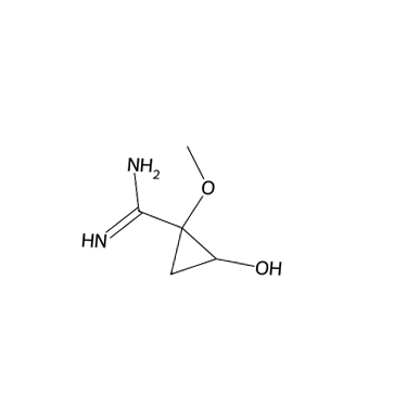 COC1(C(=N)N)CC1O